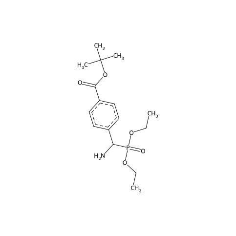 CCOP(=O)(OCC)C(N)c1ccc(C(=O)OC(C)(C)C)cc1